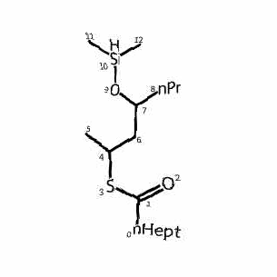 CCCCCCCC(=O)SC(C)CC(CCC)O[SiH](C)C